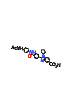 CC(=O)Nc1ccc(NC(=O)c2ccc(-c3nc4cc(C(=O)O)ccc4n3C3CCCC3)cc2)cc1